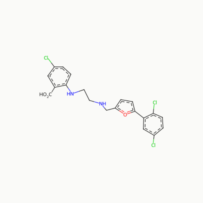 O=C(O)c1cc(Cl)ccc1NCCNCc1ccc(-c2cc(Cl)ccc2Cl)o1